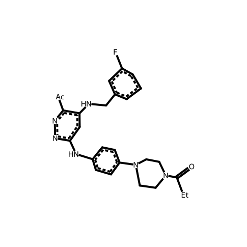 CCC(=O)N1CCN(c2ccc(Nc3cc(NCc4cccc(F)c4)c(C(C)=O)nn3)cc2)CC1